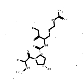 CC(C)C(NC(=O)O)C(=O)N1C[C@@H](O)C[C@H]1C(=O)NC(CCCNC(=N)N)C(=O)CF